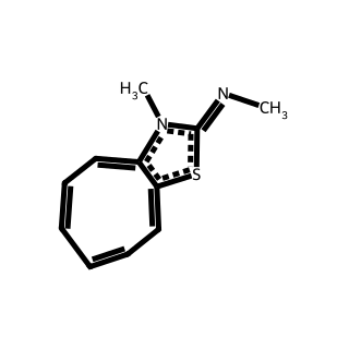 C/N=c1\sc2/c(n1C)=C\C=C/C=C\C=2